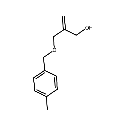 C=C(CO)COCc1ccc(C)cc1